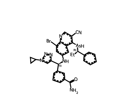 CC[C@@H]([AsH]c1c(C#N)cnc2c(Br)cc(N[C@@H](c3cccc(C(N)=O)c3)c3cn(C4CC4)nn3)cc12)c1ccccc1